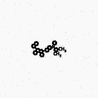 Cc1cc(C)cc(N(c2ccccc2)c2ccc3cc(-c4cc5cc(-c6cccc7ccccc67)c6ccccc6c5c5ccccc45)ccc3c2)c1